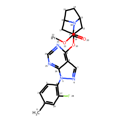 Cc1ccc(-n2ncc3c(OC4CC5CCC(C4)N5C(=O)OC(C)C)ncnc32)c(F)c1